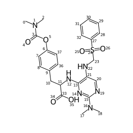 CN(C)C(=O)Oc1ccc(CC(Nc2nc(N(C)C)ncc2NCS(=O)(=O)c2ccccc2)C(=O)O)cc1